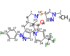 CCn1cc(SN2CCC3Cc4c(cnn4-c4ccc(F)cc4)C[C@]3(C(=O)c3cc(C(F)(F)F)ccn3)C2)cn1